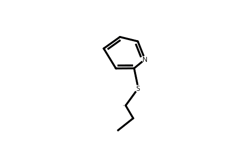 CC[CH]Sc1ccccn1